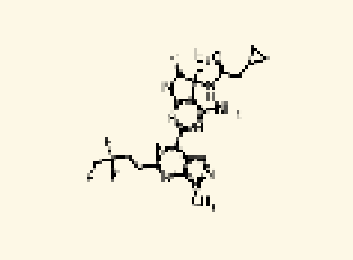 Cn1ncc2c(-c3nc(N)c4c(n3)NC(=O)C4(C)NC(=O)CC3CC3)nc(CCC(F)(F)CF)nc21